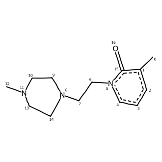 Cc1cccn(CCN2CCN(C)CC2)c1=O